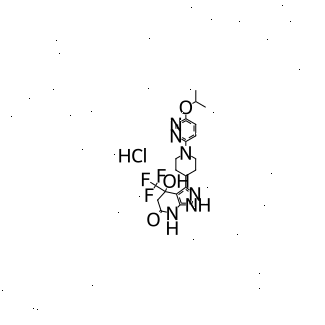 CC(C)Oc1ccc(N2CCC(c3n[nH]c4c3C(O)(C(F)(F)F)CC(=O)N4)CC2)nn1.Cl